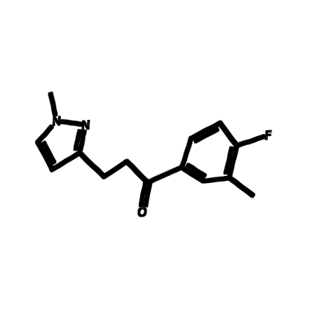 Cc1cc(C(=O)CCc2ccn(C)n2)ccc1F